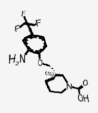 Nc1cc(C(F)(F)F)ccc1OC[C@H]1CCCN(C(=O)O)C1